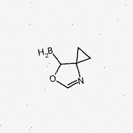 BC1OC=NC12CC2